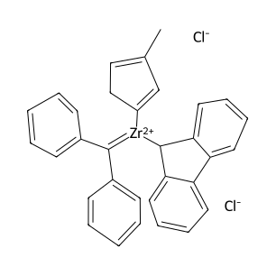 CC1=CC[C]([Zr+2](=[C](c2ccccc2)c2ccccc2)[CH]2c3ccccc3-c3ccccc32)=C1.[Cl-].[Cl-]